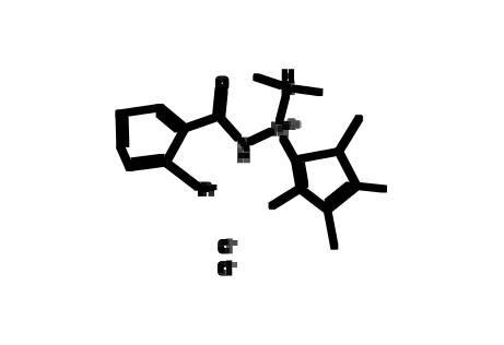 CC1=C(C)C(C)[C]([Hf+2]([NH]C(=O)c2ccccc2C(C)C)[SiH](C)C)=C1C.[Cl-].[Cl-]